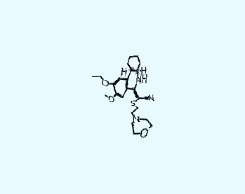 CCOc1cc2c(cc1OC)C(=C(C#N)SCCN1CCOCC1)N[C@@H]1CCCC[C@H]21